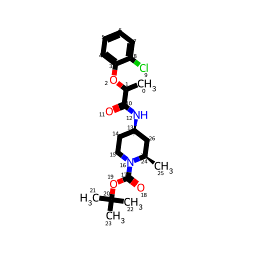 CC(Oc1ccccc1Cl)C(=O)N[C@@H]1CCN(C(=O)OC(C)(C)C)[C@H](C)C1